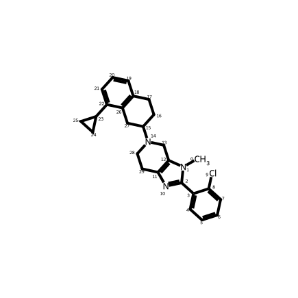 Cn1c(-c2ccccc2Cl)nc2c1CN(C1CCc3cccc(C4CC4)c3C1)CC2